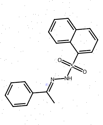 C/C(=N\NS(=O)(=O)c1cccc2ccccc12)c1ccccc1